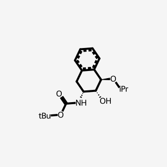 CC(C)O[C@@H]1c2ccccc2C[C@@H](NC(=O)OC(C)(C)C)[C@H]1O